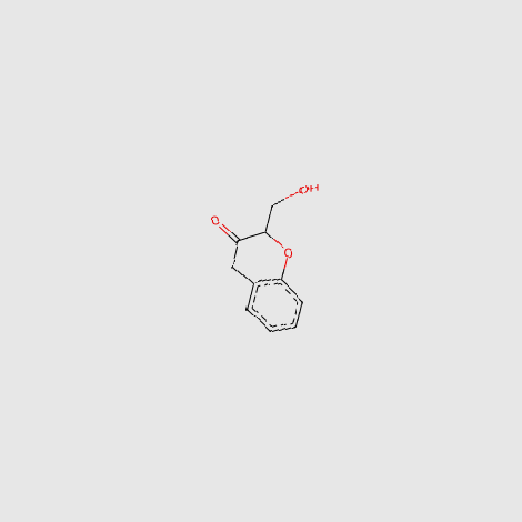 O=C1Cc2ccccc2OC1CO